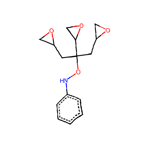 c1ccc(NOC(CC2CO2)(CC2CO2)C2CO2)cc1